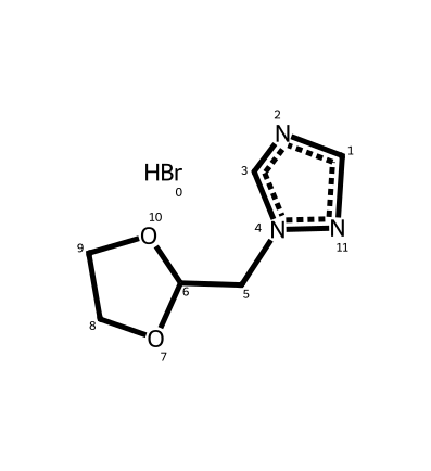 Br.c1ncn(CC2OCCO2)n1